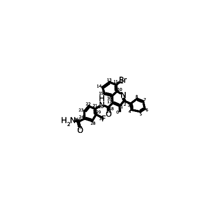 Cc1c(-c2ccccc2)nc2c(Br)cccc2c1C(=O)Nc1ccc(C(N)=O)cc1F